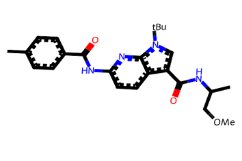 COCC(C)NC(=O)c1cn(C(C)(C)C)c2nc(NC(=O)c3ccc(C)cc3)ccc12